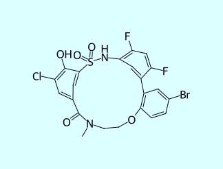 CN1CCOc2ccc(Br)cc2-c2cc(c(F)cc2F)NS(=O)(=O)c2cc(cc(Cl)c2O)C1=O